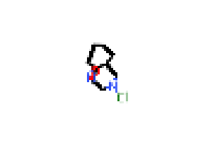 ClN1C=C2C=CC=CC23OCN=CC3=C1